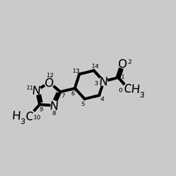 CC(=O)N1CCC(c2nc(C)no2)CC1